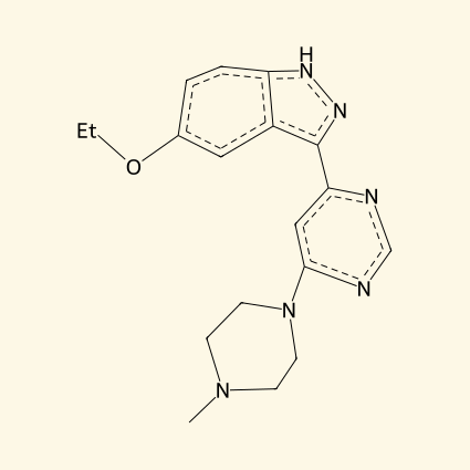 CCOc1ccc2[nH]nc(-c3cc(N4CCN(C)CC4)ncn3)c2c1